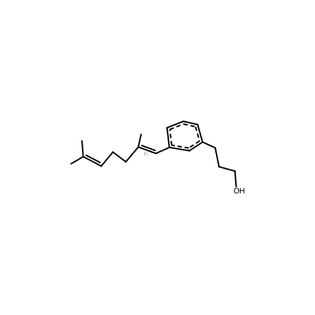 CC(C)=CCC/C(C)=C/c1cccc(CCCO)c1